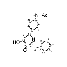 CC(=O)Nc1ccc(-c2cn(O)c(=O)c(Cc3ccccc3)n2)cc1